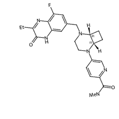 CCc1nc2c(F)cc(CN3CCN(c4ccc(C(=O)NC)nc4)[C@H]4CC[C@H]43)cc2[nH]c1=O